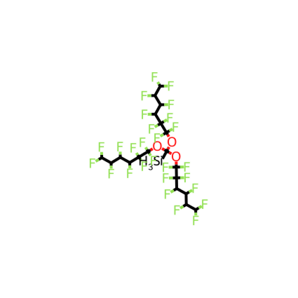 FC(F)C(F)C(F)C(F)C(F)(F)C(F)(F)OC([SiH3])(OC(F)(F)C(F)(F)C(F)C(F)C(F)C(F)F)OC(F)(F)C(F)(F)C(F)C(F)C(F)C(F)F